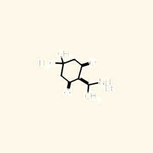 CCNC(C)=C1C(=O)CC(C)(C)CC1=O